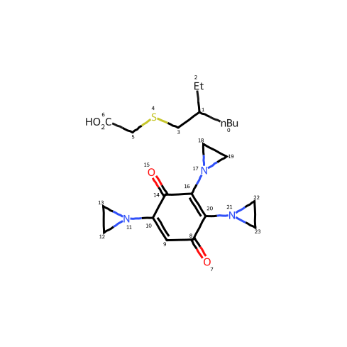 CCCCC(CC)CSCC(=O)O.O=C1C=C(N2CC2)C(=O)C(N2CC2)=C1N1CC1